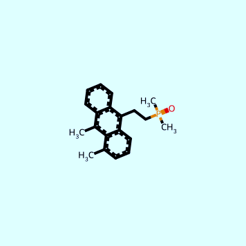 Cc1cccc2c(CCP(C)(C)=O)c3ccccc3c(C)c12